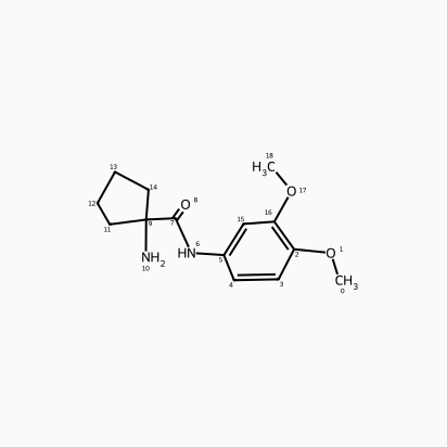 COc1ccc(NC(=O)C2(N)CCCC2)cc1OC